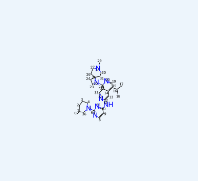 CC1CCCN(c2nccc(Nc3cc4c(C(C)C)cnc(N5CCC56CCN(C)CC6)c4cn3)n2)C1